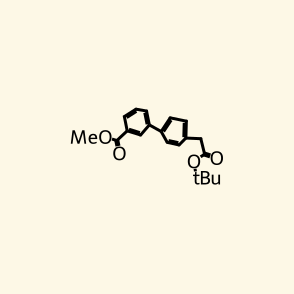 COC(=O)c1cccc(-c2ccc(CC(=O)OC(C)(C)C)cc2)c1